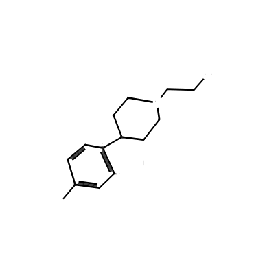 Cl.O=C(O)CCN1CCC(c2ccc(F)cc2)CC1